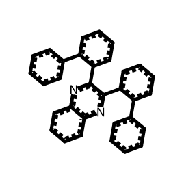 c1ccc(-c2ccccc2-c2nc3ccccc3nc2-c2ccccc2-c2ccccc2)cc1